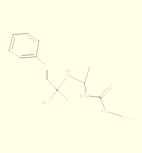 CCCCNC(=O)NC(C)NC(C)(O)COc1ccccc1